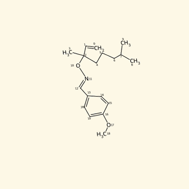 C=CC(C)(CCCC(C)C)ON=Cc1ccc(OC)cc1